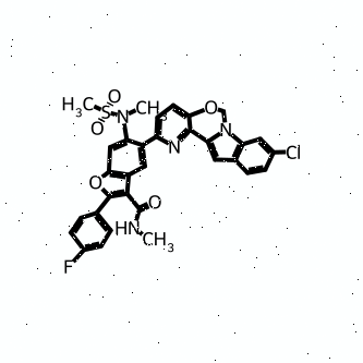 CNC(=O)c1c(-c2ccc(F)cc2)oc2cc(N(C)S(C)(=O)=O)c(-c3ccc4c(n3)-c3cc5ccc(Cl)cc5n3CO4)cc12